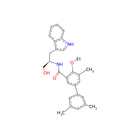 CCOc1c(C)cc(-c2cc(C)cc(C)c2)cc1C(=O)N[C@@H](CO)Cc1c[nH]c2ccccc12